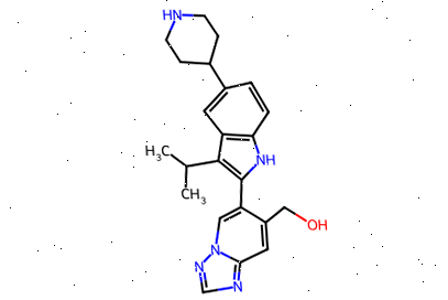 CC(C)c1c(-c2cn3ncnc3cc2CO)[nH]c2ccc(C3CCNCC3)cc12